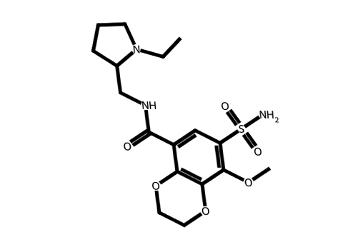 CCN1CCCC1CNC(=O)c1cc(S(N)(=O)=O)c(OC)c2c1OCCO2